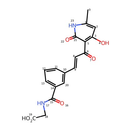 Cc1cc(O)c(C(=O)/C=C/c2cccc(C(=O)NCC(=O)O)c2)c(=O)[nH]1